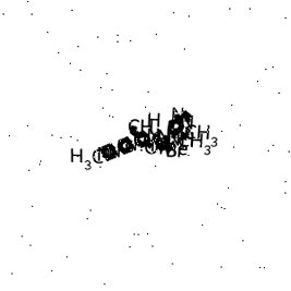 C=Cc1cc(Nc2ncc(Br)c(Nc3ccc4nccnc4c3P(C)C)n2)c(OC)cc1N1CCC(N2CCN(C)CC2)CC1